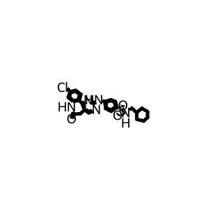 O=C1Cc2cnc(Nc3ccc(S(=O)(=O)NCC4CCCCC4)cc3)nc2-c2ccc(Cl)cc2N1